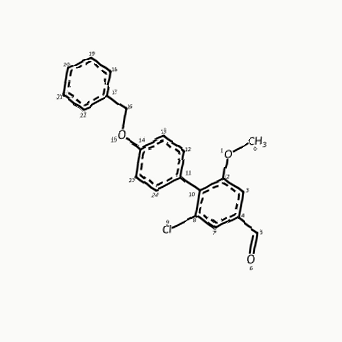 COc1cc(C=O)cc(Cl)c1-c1ccc(OCc2ccccc2)cc1